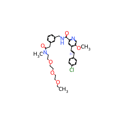 CCOCCOCCOCCN(C)C(=O)Cc1cccc(CNC(=O)c2cc(/C=C/c3ccc(Cl)cc3)c(OC)cn2)c1